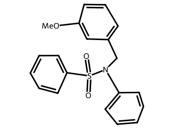 COc1cccc(CN(c2ccccc2)S(=O)(=O)c2ccccc2)c1